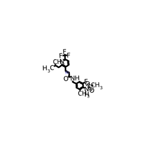 Cc1cc(CNC(=O)/C=C/c2ccc(C(F)(F)F)nc2CC(C)C)cc(F)c1NS(C)(=O)=O